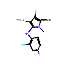 CC(=O)c1c(F)c(C(=O)O)c(Nc2ccc(I)cc2F)n1C